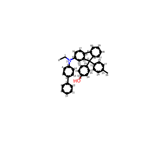 CCN(c1ccc(-c2ccccc2)cc1)c1ccc2c(c1)C(c1ccc(C)cc1)(c1ccc(O)cc1)c1ccccc1-2